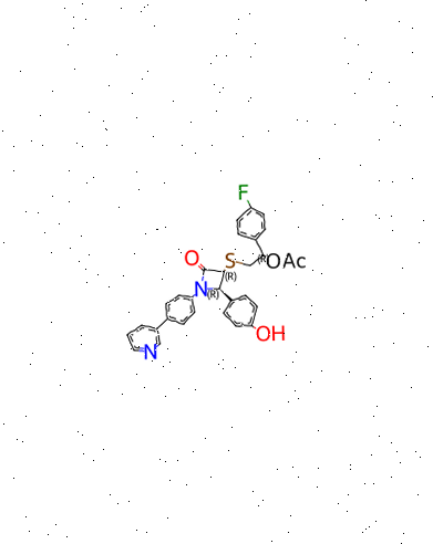 CC(=O)O[C@@H](CS[C@H]1C(=O)N(c2ccc(-c3cccnc3)cc2)[C@@H]1c1ccc(O)cc1)c1ccc(F)cc1